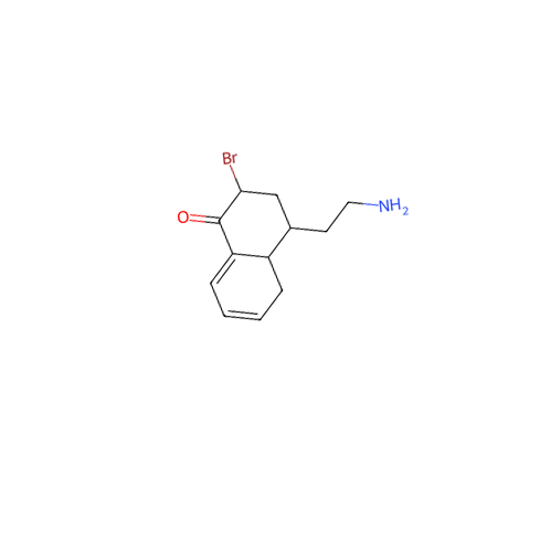 NCCC1CC(Br)C(=O)C2=CC=CCC21